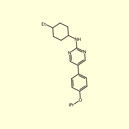 CCC1CCC(Nc2ncc(-c3ccc(OC(C)C)cc3)cn2)CC1